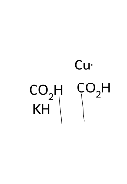 CC(=O)O.CC(=O)O.[Cu].[KH]